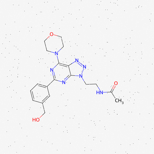 CC(=O)NCCn1nnc2c(N3CCOCC3)nc(-c3cccc(CO)c3)nc21